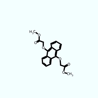 COC(=O)COc1c2ccccc2c(OCC(=O)OC)c2ccccc12